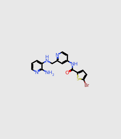 Nc1ncccc1NCc1cc(NC(=O)c2ccc(Br)s2)ccn1